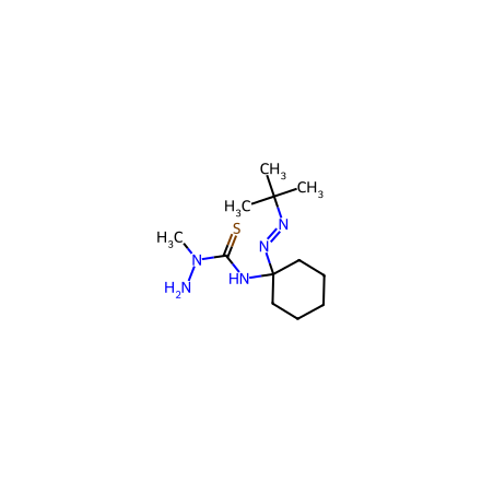 CN(N)C(=S)NC1(N=NC(C)(C)C)CCCCC1